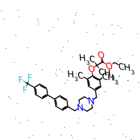 CCOC(=O)C(C)(C)Oc1c(C)cc(CN2CCN(Cc3ccc(-c4ccc(C(F)(F)F)cc4)cc3)CC2)cc1C